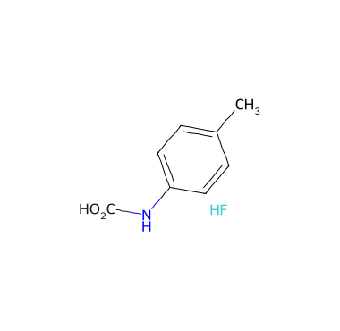 Cc1ccc(NC(=O)O)cc1.F